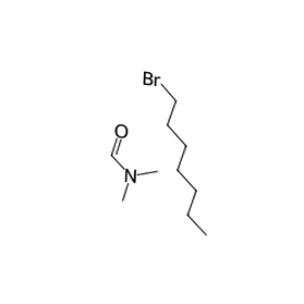 CCCCCCCBr.CN(C)C=O